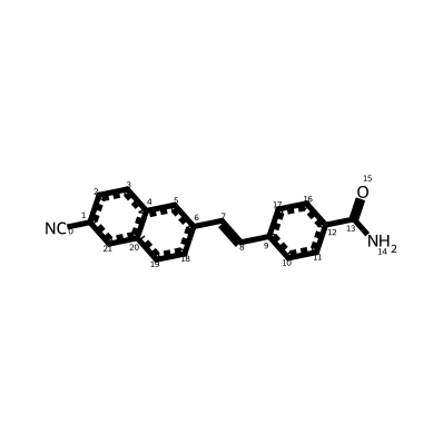 N#Cc1ccc2cc(C=Cc3ccc(C(N)=O)cc3)ccc2c1